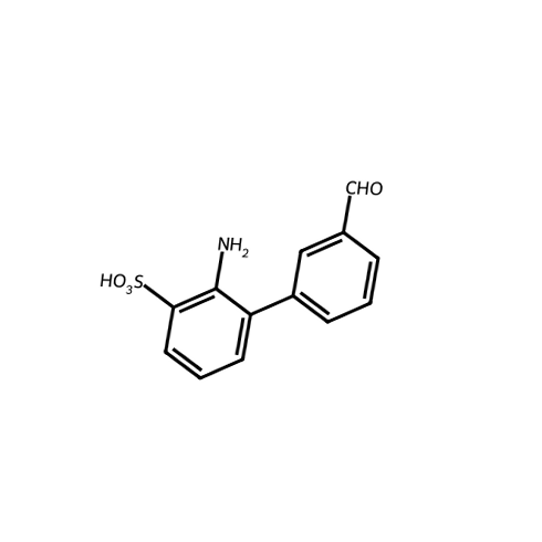 Nc1c(-c2cccc(C=O)c2)cccc1S(=O)(=O)O